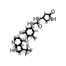 O=C1CC(NC(=O)Nc2cc(F)c(Oc3ccnc4[nH]cc(C(F)(F)F)c34)c(F)c2)CN1